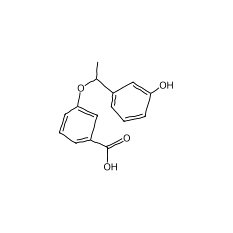 CC(Oc1cccc(C(=O)O)c1)c1cccc(O)c1